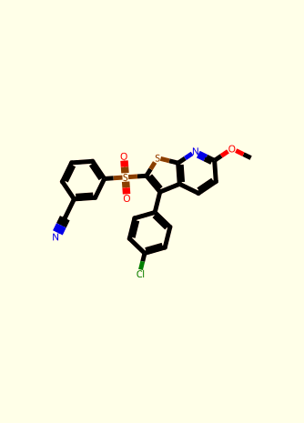 COc1ccc2c(-c3ccc(Cl)cc3)c(S(=O)(=O)c3cccc(C#N)c3)sc2n1